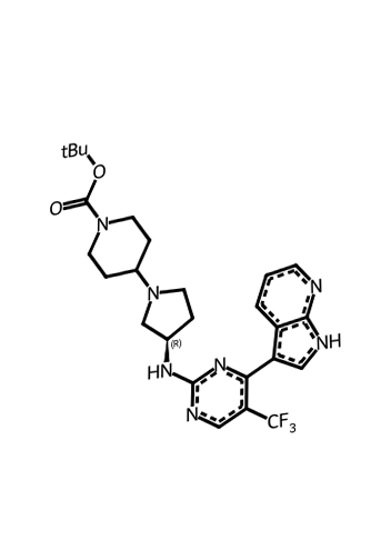 CC(C)(C)OC(=O)N1CCC(N2CC[C@@H](Nc3ncc(C(F)(F)F)c(-c4c[nH]c5ncccc45)n3)C2)CC1